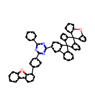 c1ccc(-c2nc(-c3ccc(-c4cccc5c4oc4ccccc45)cc3)nc(-c3ccc4c(c3)-c3ccccc3C43c4ccccc4C4(c5ccccc5Oc5ccccc54)c4ccccc43)n2)cc1